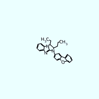 CCCC1C(CC)n2c(nc3ccccc32)N1c1ccc2oc3ccccc3c2c1